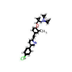 Cc1cc(C#Cc2ccc(-c3ccc(Cl)cc3)cn2)ccc1OCC1(CN(C2CC2)C2CC2)CC1